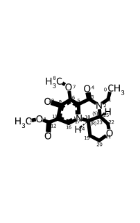 CCN1C(=O)c2c(OC)c(=O)c(C(=O)OC)cn2[C@@H]2CCOC[C@H]21